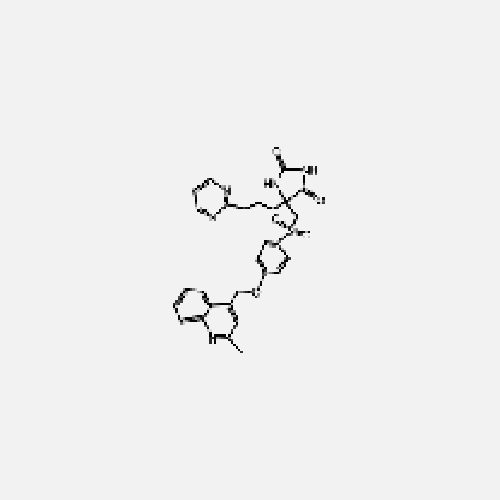 Cc1cc(COc2ccc(S(=O)(=O)CC3(CCCc4ncccn4)NC(=O)NC3=O)cc2)c2ccccc2n1